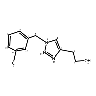 OCCc1cn(Cc2cccc(Cl)c2)nn1